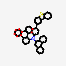 c1ccc(-c2ccccc2-c2c(-c3ccccc3)cccc2N(c2ccc(-c3ccc4sc5ccccc5c4c3)cc2)c2cc3ccccc3c3ccccc23)cc1